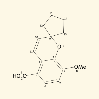 COc1ccc(C(=O)O)c2c1OC1(C=C2)CCCC1